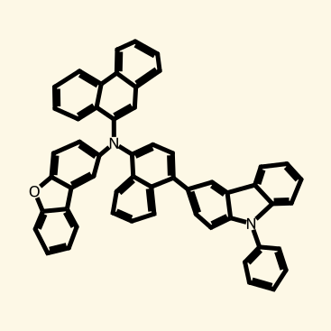 c1ccc(-n2c3ccccc3c3cc(-c4ccc(N(c5ccc6oc7ccccc7c6c5)c5cc6ccccc6c6ccccc56)c5ccccc45)ccc32)cc1